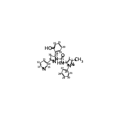 Cc1cc(NC(=O)N2N=C(c3cccnc3)CC2c2ccccc2O)n(-c2ccccc2)n1